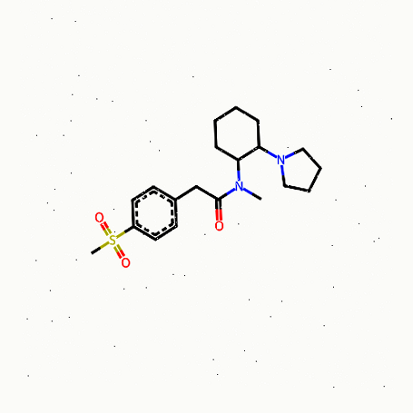 CN(C(=O)Cc1ccc(S(C)(=O)=O)cc1)C1CCCCC1N1CCCC1